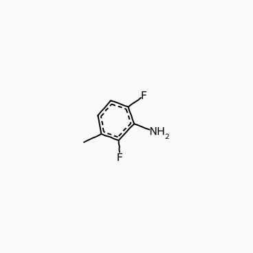 Cc1ccc(F)c(N)c1F